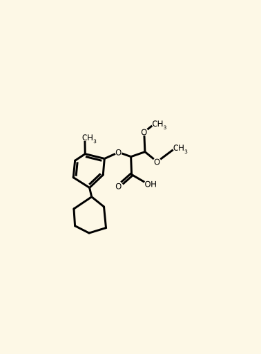 COC(OC)C(Oc1cc(C2CCCCC2)ccc1C)C(=O)O